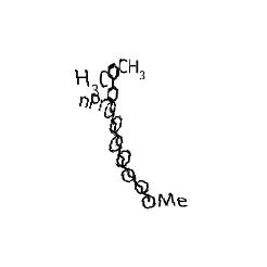 CCCc1cc(-c2cc(C)ccc2C)ccc1OCCOCCOCCOCCOCCOCCOC